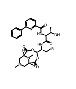 CC(C)C[C@H](NC(=O)[C@@H](NC(=O)c1cccc(-c2ccccc2)n1)[C@@H](C)O)B1OC(=O)[C@H]2CN(C)C[C@@H](C(=O)O1)N2C